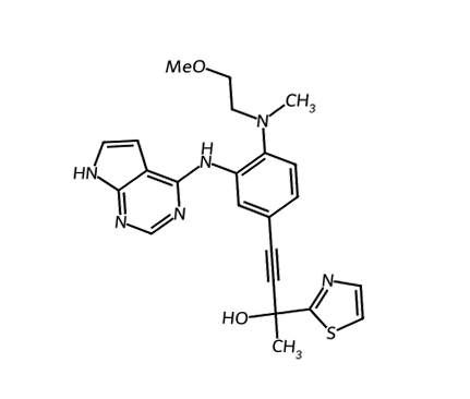 COCCN(C)c1ccc(C#CC(C)(O)c2nccs2)cc1Nc1ncnc2[nH]ccc12